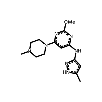 COc1nc(Nc2cc(C)[nH]n2)cc(N2CCN(C)CC2)n1